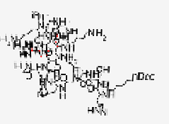 CCCCCCCCCCCCCCCC(=O)N[C@@H](Cc1cnc[nH]1)C(=O)N[C@@H](CO)C(=O)N[C@@H](CCCCN)C(=O)NCC(=O)N[C@@H](Cc1cnc[nH]1)C(=O)N[C@@H](CCC(N)=O)C(=O)N[C@@H](CCCCN)C(=O)N[C@@H](CCCNC(=N)N)C(=O)N[C@@H](CCCCN)C(=O)N[C@@H](C)C(=O)N[C@@H](CC(C)C)C(=O)N[C@@H](CCCCN)C(=O)N[C@H](C(N)=O)[C@@H](C)O